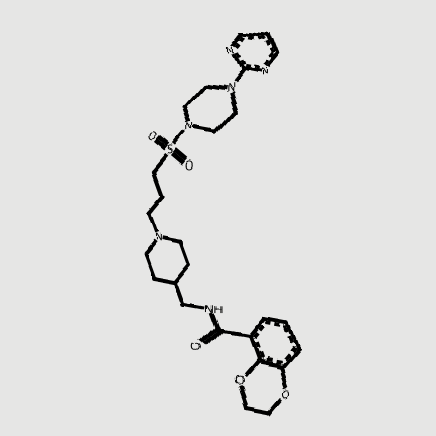 O=C(NCC1CCN(CCCS(=O)(=O)N2CCN(c3ncccn3)CC2)CC1)c1cccc2c1OCCO2